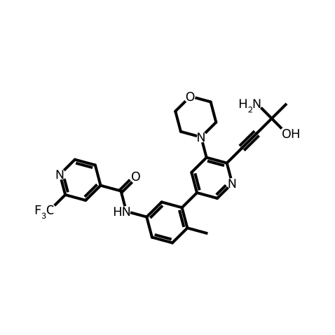 Cc1ccc(NC(=O)c2ccnc(C(F)(F)F)c2)cc1-c1cnc(C#CC(C)(N)O)c(N2CCOCC2)c1